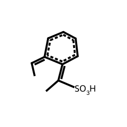 C/C=c1/cccc/c1=C(/C)S(=O)(=O)O